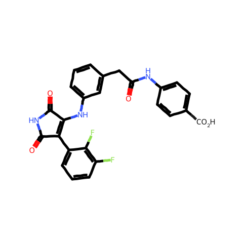 O=C(Cc1cccc(NC2=C(c3cccc(F)c3F)C(=O)NC2=O)c1)Nc1ccc(C(=O)O)cc1